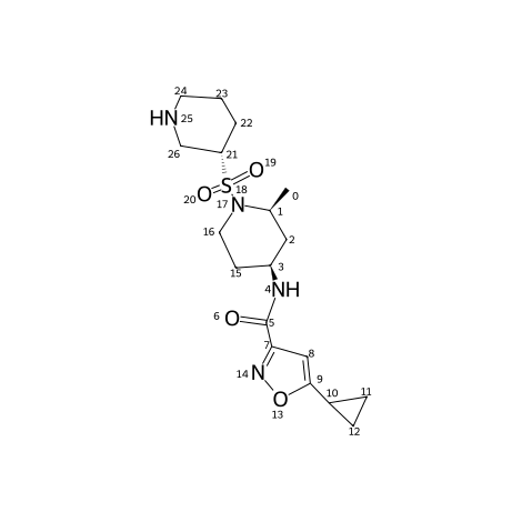 C[C@H]1C[C@@H](NC(=O)c2cc(C3CC3)on2)CCN1S(=O)(=O)[C@H]1CCCNC1